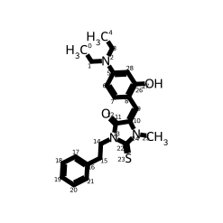 CCN(CC)c1ccc(/C=C2\C(=O)N(CCc3ccccc3)C(=S)N2C)c(O)c1